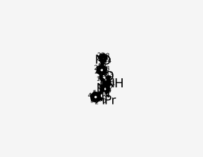 CC(C)c1ccccc1-c1ncc2[nH]c(=O)n(Cc3ccc(-c4ncco4)cc3)c2n1